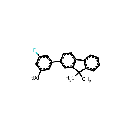 CC(C)(C)c1cc(F)cc(-c2ccc3c(c2)C(C)(C)c2ccccc2-3)c1